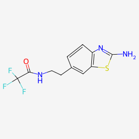 Nc1nc2ccc(CCNC(=O)C(F)(F)F)cc2s1